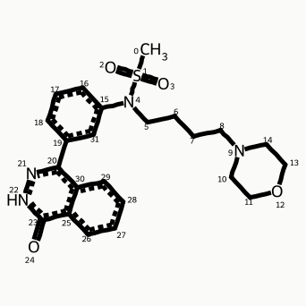 CS(=O)(=O)N(CCCCN1CCOCC1)c1cccc(-c2n[nH]c(=O)c3ccccc23)c1